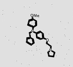 COc1ccc(N(Cc2ccccc2)c2ccc(OCCN3CCCC3)cc2)cc1